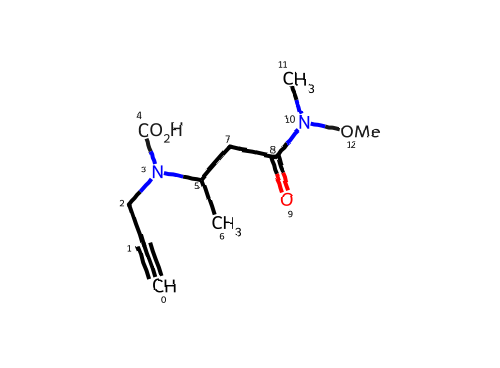 C#CCN(C(=O)O)C(C)CC(=O)N(C)OC